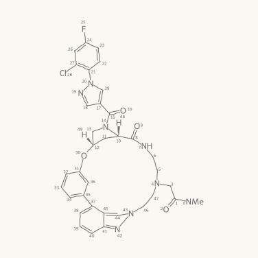 CNC(=O)CN1CCNC(=O)[C@@H]2C[C@@H](CN2C(=O)c2cnn(-c3ccc(F)cc3Cl)c2)Oc2cccc(c2)-c2cccc3nn(cc23)CC1